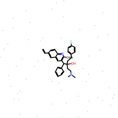 C=Cc1ccc2nc(OC)c(C(c3ccccc3)C(O)(CCc3ccc(F)cc3)CCN(C)C)cc2c1